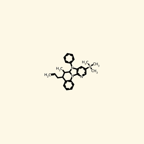 C=CCC1c2ccccc2N2c3ncc([Si](C)(C)C)cc3N(c3ccccc3)C2C1C